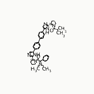 CCN(CC)[C@@H](C(=O)N1CCC[C@H]1c1ncc(-c2ccc(-c3ccc(-c4cnc([C@@H]5CCCN5C(=O)C(C)C)[nH]4)cc3)cc2)[nH]1)c1ccccc1